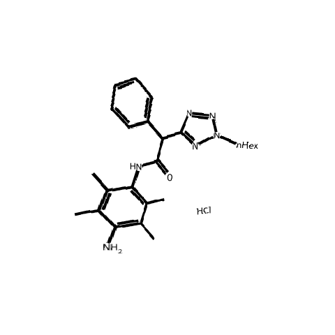 CCCCCCn1nnc(C(C(=O)Nc2c(C)c(C)c(N)c(C)c2C)c2ccccc2)n1.Cl